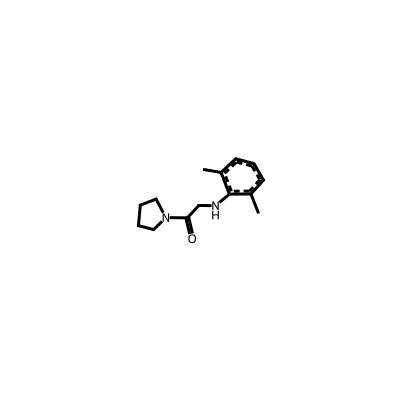 Cc1cccc(C)c1NCC(=O)N1CCCC1